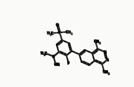 CB(O)c1cc(P(C)(C)=O)cc(-c2ccc3c(N)nnc(C)c3c2)c1F